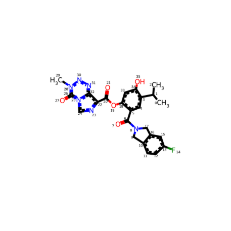 CC(C)c1cc(C(=O)N2Cc3ccc(F)cc3C2)c(OC(=O)c2ncn3c(=O)n(C)nnc23)cc1O